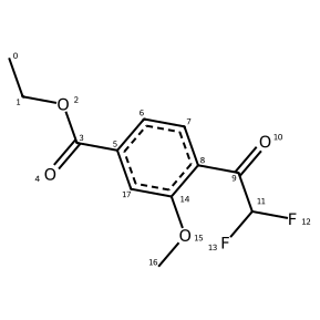 CCOC(=O)c1ccc(C(=O)C(F)F)c(OC)c1